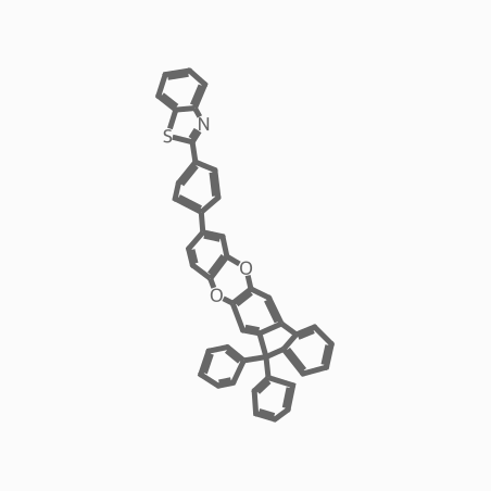 c1ccc(C2(c3ccccc3)c3ccccc3-c3cc4c(cc32)Oc2ccc(-c3ccc(-c5nc6ccccc6s5)cc3)cc2O4)cc1